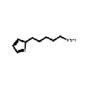 CCCCCCCCCC[C]1C=CC=N1